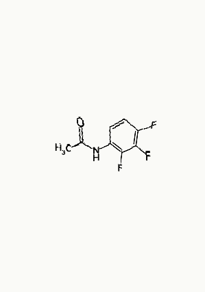 CC(=O)Nc1ccc(F)c(F)c1F